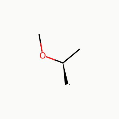 [CH2][C@H](C)OC